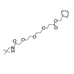 CC(C)(C)CNC(=O)COCCOCCOCCC(=O)OCc1ccccc1